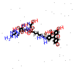 Nc1ncnc2c1ncn2[C@@H]1O[C@H](COP(=O)(NC(=O)[C@@H](N)CO)OCCCCCCNC(=S)Nc2ccc(-c3c4ccc(=O)cc-4oc4cc(O)ccc34)c(C(=O)O)c2)[C@@H](O)[C@H]1O